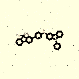 CC1(C)c2ccccc2-c2ccc(-c3ccc(Nc4ccc5c(c4)c4ccccc4n5-c4ccccc4)cc3)cc21